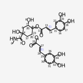 CNC(=O)[C@]1(O)C[C@@H](O)[C@@H](OC(=O)/C=C/c2ccc(O)c(O)c2)[C@H](OC(=O)/C=C/c2ccc(O)c(O)c2)C1